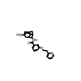 O=C(NC1C2CC3CC1CC(O)(C3)C2)c1cccc(OCCc2ccccn2)c1